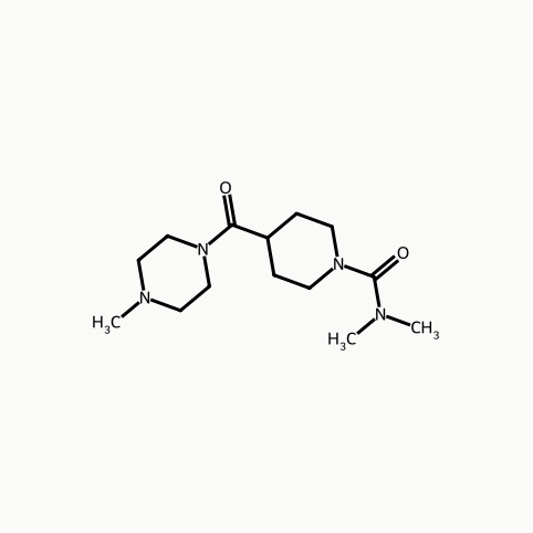 CN1CCN(C(=O)C2CCN(C(=O)N(C)C)CC2)CC1